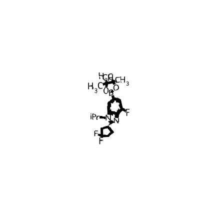 CC(C)n1c([C@@H]2CCC(F)(F)C2)nc2c(F)cc(B3OC(C)(C)C(C)(C)O3)cc21